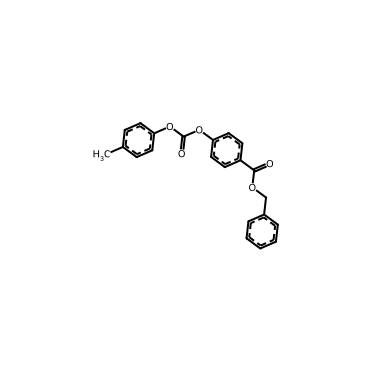 Cc1ccc(OC(=O)Oc2ccc(C(=O)OCc3ccccc3)cc2)cc1